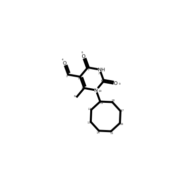 Cc1c(C=O)c(=O)[nH]c(=O)n1C1CCCCCCC1